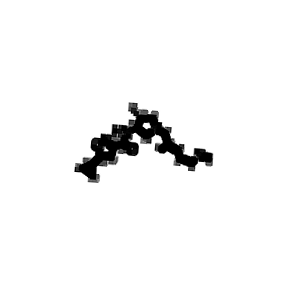 C=N/C=C\C=C(/C)CN1C[C@@H](C)[C@H](NC(=O)c2cc(C3CC3)on2)C1